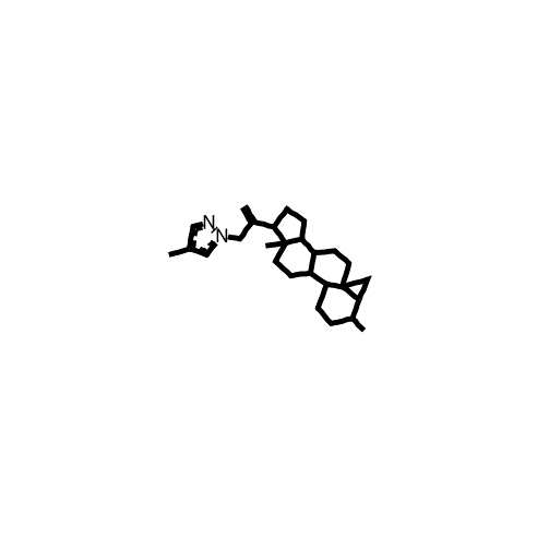 C=C(Cn1cc(C)cn1)C1CCC2C3CCC45CC4C(C)CCC5C3CCC12C